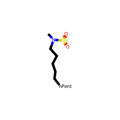 CCCCCCCCCCN(C)[SH](=O)=O